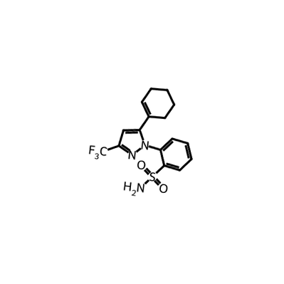 NS(=O)(=O)c1ccccc1-n1nc(C(F)(F)F)cc1C1=CCCCC1